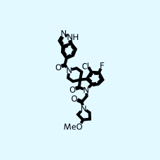 COC1CCN(C(=O)CN2C(=O)C3(CCN(C(=O)c4ccc5[nH]ncc5c4)CC3)c3c2ccc(F)c3Cl)C1